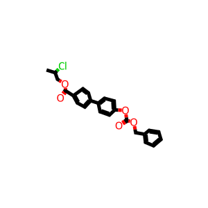 CC(Cl)COC(=O)c1ccc(-c2ccc(OC(=O)OCc3ccccc3)cc2)cc1